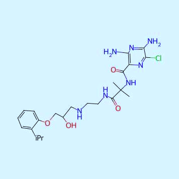 CC(C)c1ccccc1OCC(O)CNCCNC(=O)C(C)(C)NC(=O)c1nc(Cl)c(N)nc1N